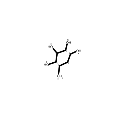 CCCCO.OCC(O)CO